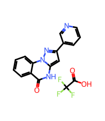 O=C(O)C(F)(F)F.O=c1[nH]c2cc(-c3cccnc3)nn2c2ccccc12